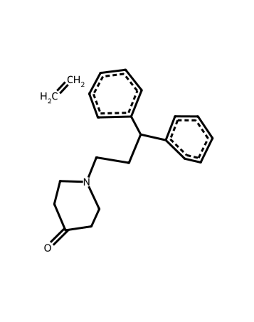 C=C.O=C1CCN(CCC(c2ccccc2)c2ccccc2)CC1